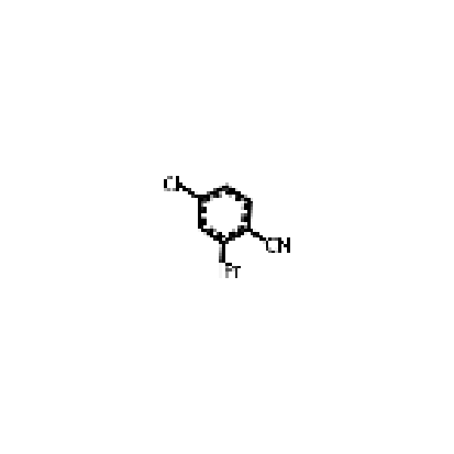 [CH2]C(C)c1cc(Cl)ccc1C#N